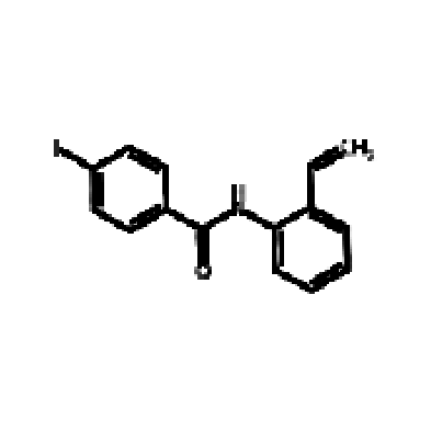 C=Cc1ccccc1NC(=O)c1ccc(I)cc1